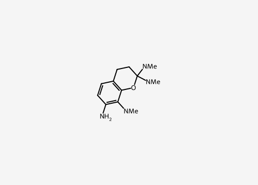 CNc1c(N)ccc2c1OC(NC)(NC)CC2